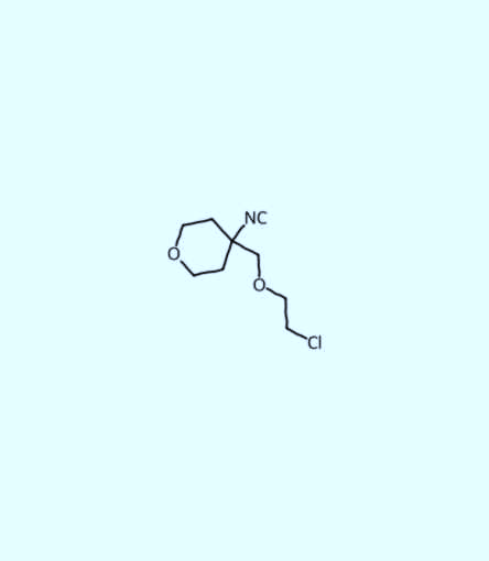 [C-]#[N+]C1(COCCCl)CCOCC1